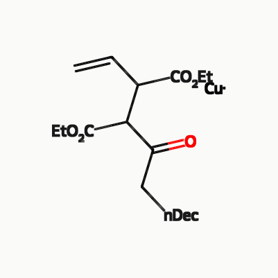 C=CC(C(=O)OCC)C(C(=O)CCCCCCCCCCC)C(=O)OCC.[Cu]